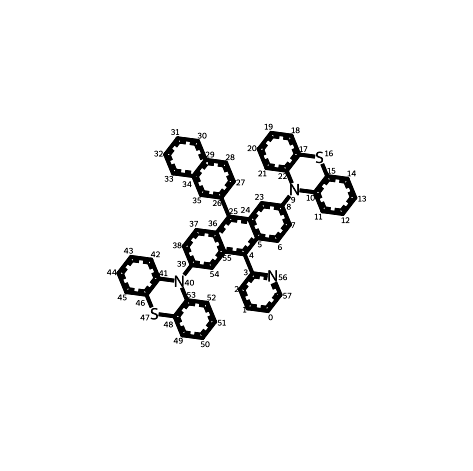 c1ccc(-c2c3ccc(N4c5ccccc5Sc5ccccc54)cc3c(-c3ccc4ccccc4c3)c3ccc(N4c5ccccc5Sc5ccccc54)cc23)nc1